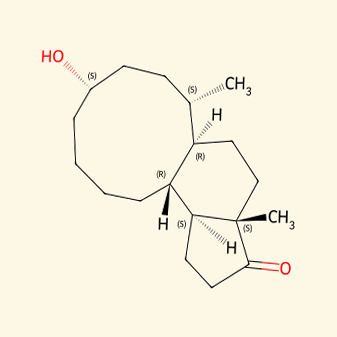 C[C@H]1CC[C@@H](O)CCCC[C@@H]2[C@@H]1CC[C@]1(C)C(=O)CC[C@@H]21